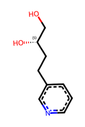 OC[C@@H](O)CCc1cccnc1